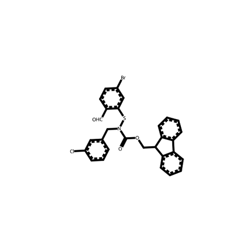 O=Cc1ccc(Br)cc1SN(Cc1cccc(Cl)c1)C(=O)OCC1c2ccccc2-c2ccccc21